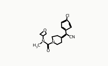 CN(C(=O)N1CCC(=C(C#N)c2ccc(Cl)cc2)CC1)C1COC1